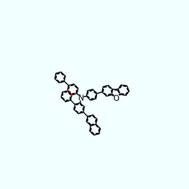 c1ccc(-c2ccc(N(c3ccc(-c4ccc5c(c4)oc4ccccc45)cc3)c3cc(-c4ccc5ccccc5c4)ccc3-c3ccccc3)cc2)cc1